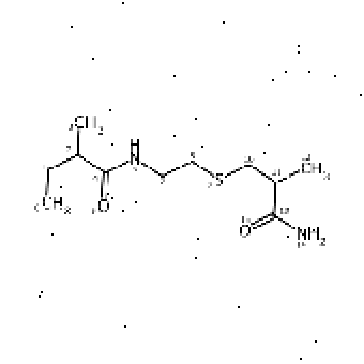 CCC(C)C(=O)NCCSCC(C)C(N)=O